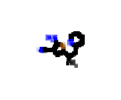 CC(Cc1ccccn1)c1cc(C#N)c(N)s1